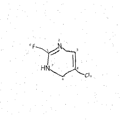 FC1=NC=C(Cl)[CH]N1